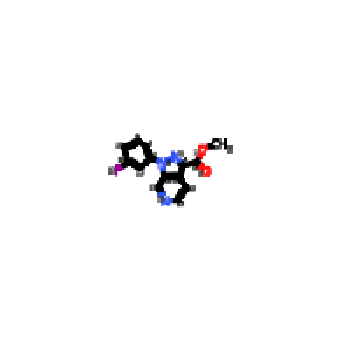 COC(=O)c1nn(-c2cccc(I)c2)c2cnccc12